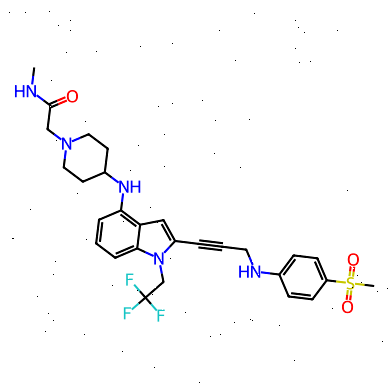 CNC(=O)CN1CCC(Nc2cccc3c2cc(C#CCNc2ccc(S(C)(=O)=O)cc2)n3CC(F)(F)F)CC1